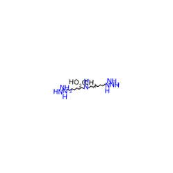 CC(=O)O.N=C(N)NCCCCCCCCNCCCCCCCCNC(=N)N